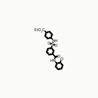 CCOC(=O)c1ccc(NS(=O)(=O)c2cccc(C(=O)Nc3ccccc3Cl)c2)cc1